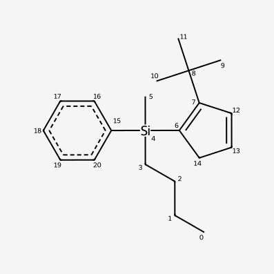 CCCC[Si](C)(C1=C(C(C)(C)C)C=CC1)c1ccccc1